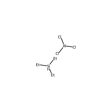 CC[SiH](CC)CC.[Cl][Al]([Cl])[Cl]